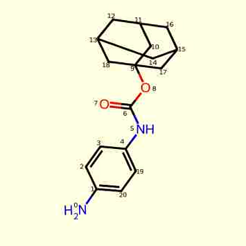 Nc1ccc(NC(=O)OC23CC4CC(CC(C4)C2)C3)cc1